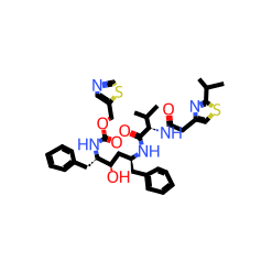 CC(C)c1nc(CC(=O)N[C@H](C(=O)N[C@@H](Cc2ccccc2)C[C@H](O)[C@H](Cc2ccccc2)NC(=O)OCc2cncs2)C(C)C)cs1